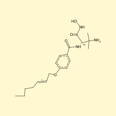 CCCC/C=C/COc1ccc(C(=O)N[C@H](C(=O)NO)C(C)(C)N)cc1